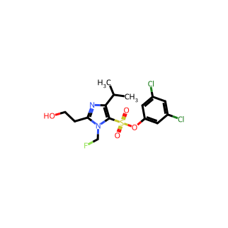 CC(C)c1nc(CCO)n(CF)c1S(=O)(=O)Oc1cc(Cl)cc(Cl)c1